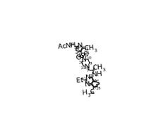 CCc1nc(N[C@@H](C)CN2CCN(S(=O)(=O)c3sc(NC(C)=O)nc3C)CC2)c2scc(C)c2n1